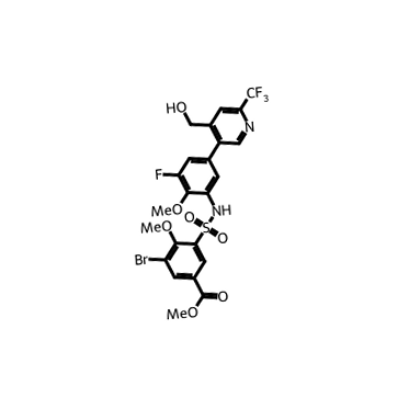 COC(=O)c1cc(Br)c(OC)c(S(=O)(=O)Nc2cc(-c3cnc(C(F)(F)F)cc3CO)cc(F)c2OC)c1